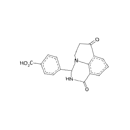 O=C(O)c1ccc(C2NC(=O)c3cccc4c3N2CCC4=O)cc1